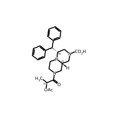 CC(=O)O[C@@H](C)C(=O)N1CCN2[C@H](CN(C(=O)O)C[C@H]2C(c2ccccc2)c2ccccc2)C1